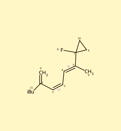 C=C(/C=C\C=C(/C)C1(F)CC1)C(C)CC